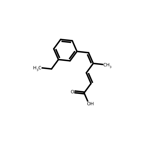 CCc1cccc(C=C(C)C=CC(=O)O)c1